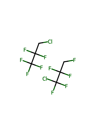 FC(F)(F)C(F)(F)CCl.FCC(F)(F)C(F)(F)Cl